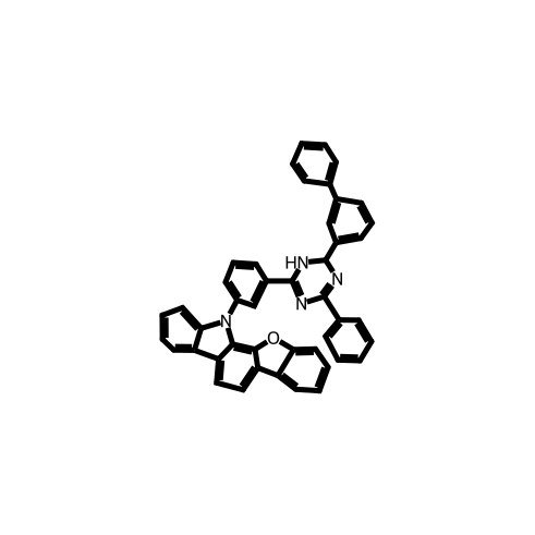 c1ccc(C2=NC(c3cccc(-c4ccccc4)c3)NC(c3cccc(-n4c5ccccc5c5ccc6c7ccccc7oc6c54)c3)=N2)cc1